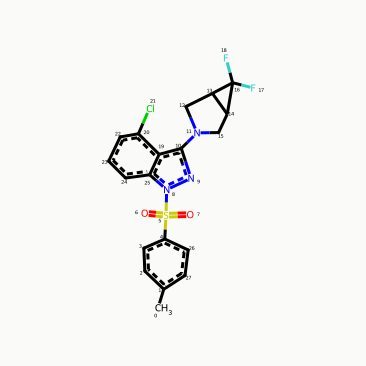 Cc1ccc(S(=O)(=O)n2nc(N3CC4C(C3)C4(F)F)c3c(Cl)cccc32)cc1